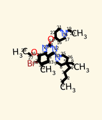 CCCCCC1(CC)CCN(c2nc(OC3CCN(CC)CC3)nc3c(OCC)c(Br)c(C)cc23)CC1